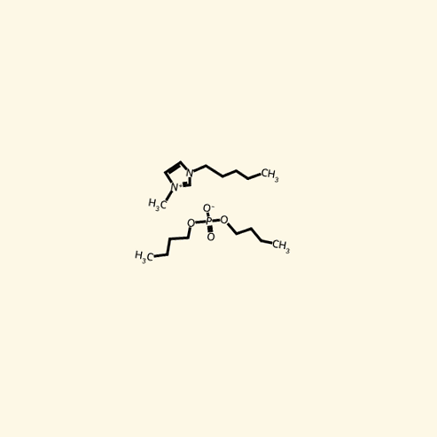 CCCCCn1cc[n+](C)c1.CCCCOP(=O)([O-])OCCCC